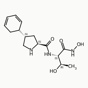 C[C@@H](O)[C@H](NC(=O)[C@@H]1C[C@@H](C2C=CC=CC2)CN1)C(=O)NO